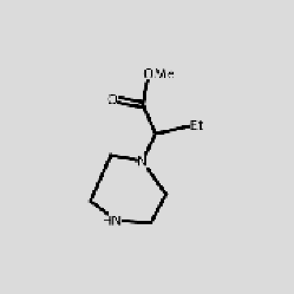 CCC(C(=O)OC)N1CCNCC1